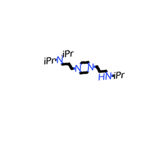 CC(C)NCCCN1CCN(CCCN(C(C)C)C(C)C)CC1